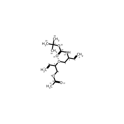 C=CC(COC(C=C)COC(C)=O)NC(=O)OC(C)(C)C